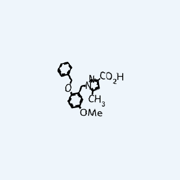 COc1ccc(OCc2ccccc2)c(Cn2nc(C(=O)O)cc2C)c1